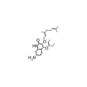 CC=C(CC)Oc1c(OC/C=C(\C)CCC=C(C)C)c(=O)[nH]c2cc(N)ccc12